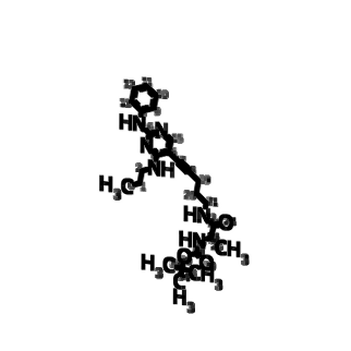 CCCNc1nc(Nc2ccccc2)ncc1C#CCCCNC(=O)[C@H](C)NC(=O)OC(C)(C)C